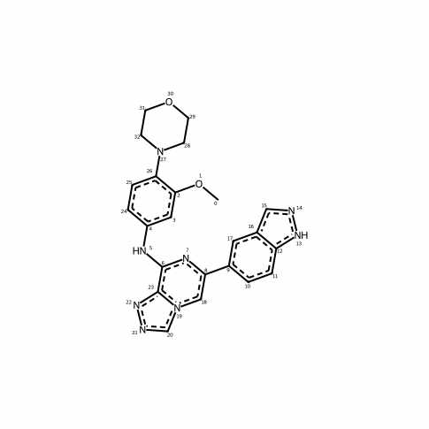 COc1cc(Nc2nc(-c3ccc4[nH]ncc4c3)cn3cnnc23)ccc1N1CCOCC1